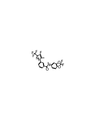 Cc1c(F)c(C(F)(F)F)nn1-c1cccc(C(=O)N(C)c2ccc3c(c2)OC(F)(F)O3)c1